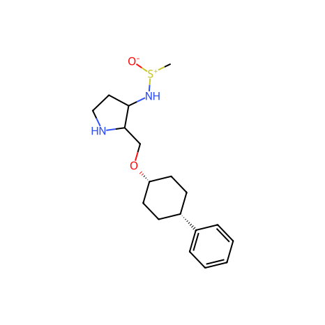 C[S+]([O-])NC1CCNC1CO[C@H]1CC[C@@H](c2ccccc2)CC1